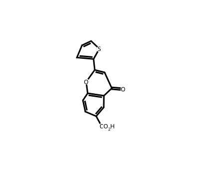 O=C(O)c1ccc2oc(-c3cccs3)cc(=O)c2c1